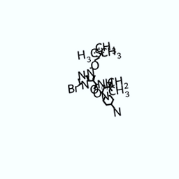 C=C(C)[C@@H](NC(=O)c1cn(COCC[Si](C)(C)C)c2ncc(Br)nc12)C(=O)N1CCC(C#N)CC1